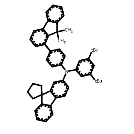 CC(C)(C)c1cc(N(c2ccc(-c3cccc4c3C(C)(C)c3ccccc3-4)cc2)c2ccc3c(c2)C2(CCCC2)c2ccccc2-3)cc(C(C)(C)C)c1